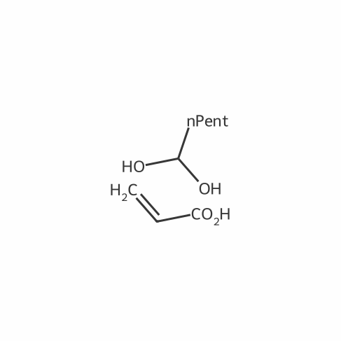 C=CC(=O)O.CCCCCC(O)O